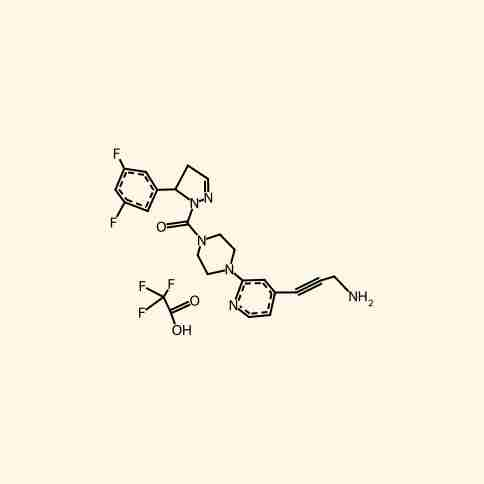 NCC#Cc1ccnc(N2CCN(C(=O)N3N=CCC3c3cc(F)cc(F)c3)CC2)c1.O=C(O)C(F)(F)F